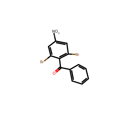 O=C(c1ccccc1)c1c(Br)cc([N+](=O)[O-])cc1Br